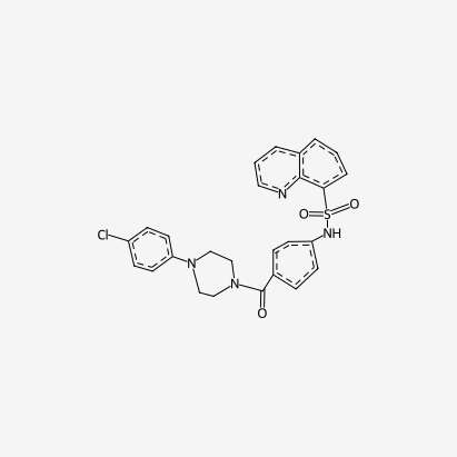 O=C(c1ccc(NS(=O)(=O)c2cccc3cccnc23)cc1)N1CCN(c2ccc(Cl)cc2)CC1